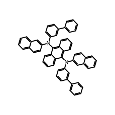 c1ccc(-c2cccc(N(c3ccc4ccccc4c3)c3c4ccccc4c(N(c4cccc(-c5ccccc5)c4)c4ccc5ccccc5c4)c4ccccc34)c2)cc1